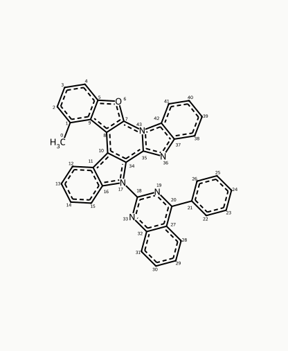 Cc1cccc2oc3c(c12)c1c2ccccc2n(-c2nc(-c4ccccc4)c4ccccc4n2)c1c1nc2ccccc2n13